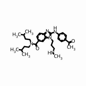 CNCCCn1c(Nc2ccc(C(C)=O)cc2)nc2ccc(C(=O)N(CCC(C)C)CCC(C)C)cc21